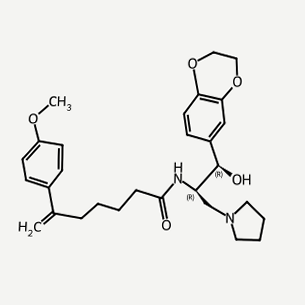 C=C(CCCCC(=O)N[C@H](CN1CCCC1)[C@H](O)c1ccc2c(c1)OCCO2)c1ccc(OC)cc1